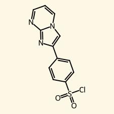 O=S(=O)(Cl)c1ccc(-c2cn3cccnc3n2)cc1